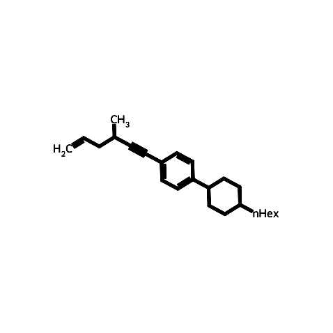 C=CCC(C)C#Cc1ccc(C2CCC(CCCCCC)CC2)cc1